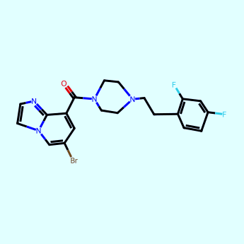 O=C(c1cc(Br)cn2ccnc12)N1CCN(CCc2ccc(F)cc2F)CC1